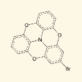 Brc1cc2c3c(c1)Oc1cccc4c1N3c1c(cccc1O2)O4